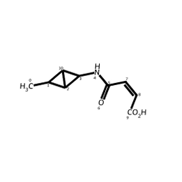 CC1C2C(NC(=O)/C=C\C(=O)O)C12